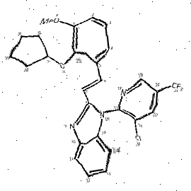 COc1cccc(C=Cc2nc3ccccc3n2-c2ncc(C(F)(F)F)cc2Cl)c1OC1CCCC1